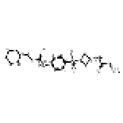 C=CC(=O)NC1CN(S(=O)(=O)c2ccc(NC(=O)CCC3CCCCC3)cc2)C1